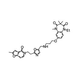 CCN1C(=O)C(C)(C)C(=O)N(C)c2cc(OCCCNCc3cnc(CCn4ccc5oc(C)cc5c4=O)o3)ccc21